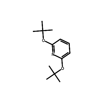 CC(C)(C)Oc1cccc(OC(C)(C)C)n1